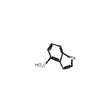 O=C(O)c1cccc2[te]ccc12